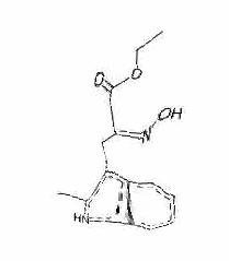 CCOC(=O)/C(Cc1c(C)[nH]c2ccccc12)=N\O